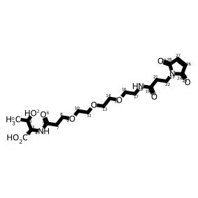 CC(O)C(NC(=O)CCOCCOCCOCCNC(=O)CCN1C(=O)C=CC1=O)C(=O)O